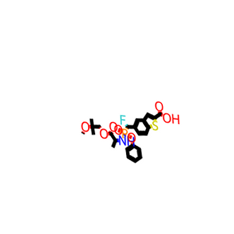 COC(C)(C)COC(=O)C(C)NP(=O)(Oc1ccccc1)C(F)c1ccc2sc(C(=O)O)cc2c1